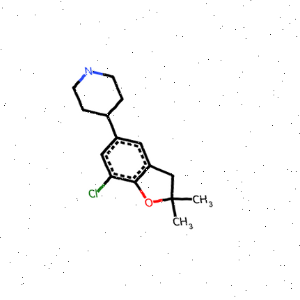 CC1(C)Cc2cc(C3CC[N]CC3)cc(Cl)c2O1